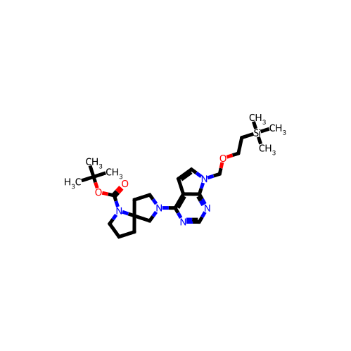 CC(C)(C)OC(=O)N1CCCC12CCN(c1ncnc3c1ccn3COCC[Si](C)(C)C)C2